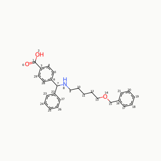 O=C(O)c1ccc(C(NCCCCCOCc2ccccc2)c2ccccc2)cc1